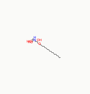 CCCCCCCCCCCCCCCCCCOCC(O)CNC(C)(CO)CO